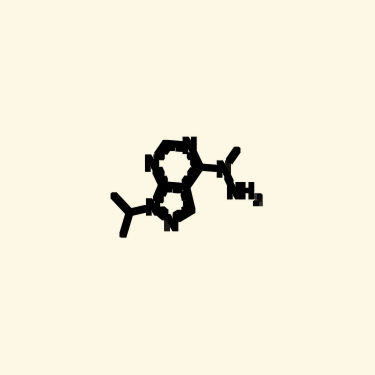 CC(C)n1ncc2c(N(C)N)ncnc21